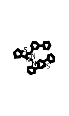 c1ccc(-c2cccc(-c3nc(-n4c5ccccc5c5cc6sc7ccccc7c6cc54)nc4c3sc3ccccc34)c2)cc1